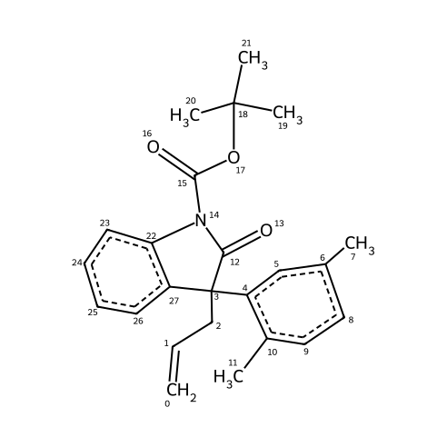 C=CCC1(c2cc(C)ccc2C)C(=O)N(C(=O)OC(C)(C)C)c2ccccc21